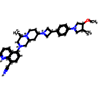 COC1CN(c2ccc(C3CN(C4CCN5C(C)CN(c6ccc(C#N)c7ncccc67)CC5C4)C3)cc2)CC1C